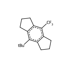 CC(C)(C)c1c2c(c(C(F)(F)F)c3c1CCC3)CCC2